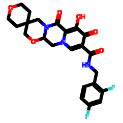 O=C(NCc1ccc(F)cc1F)c1cn2c(c(O)c1=O)C(=O)N1CC3(CCOCC3)COC1C2